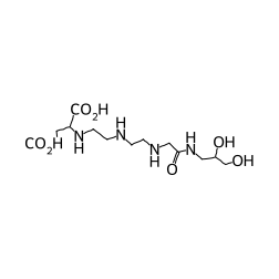 O=C(O)CC(NCCNCCNCC(=O)NCC(O)CO)C(=O)O